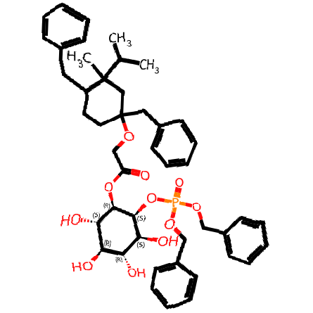 CC(C)C1(C)CC(Cc2ccccc2)(OCC(=O)O[C@@H]2[C@@H](O)[C@H](O)[C@@H](O)[C@H](O)[C@@H]2OP(=O)(OCc2ccccc2)OCc2ccccc2)CCC1Cc1ccccc1